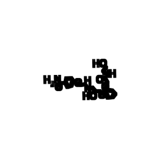 NC(=O)c1ccc(OCCNCC(O)COc2ccccc2OCC(=O)NCCO)cc1